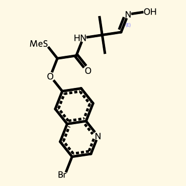 CSC(Oc1ccc2ncc(Br)cc2c1)C(=O)NC(C)(C)/C=N/O